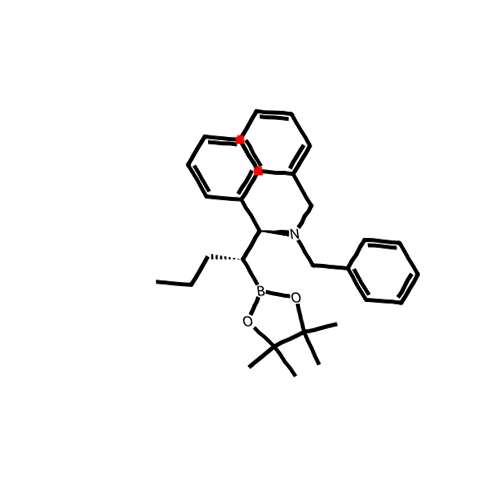 CCC[C@@H](B1OC(C)(C)C(C)(C)O1)[C@@H](c1ccccc1)N(Cc1ccccc1)Cc1ccccc1